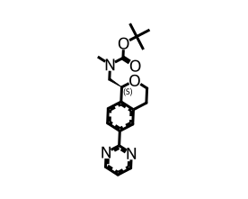 CN(C[C@H]1OCCc2cc(-c3ncccn3)ccc21)C(=O)OC(C)(C)C